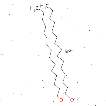 CCCCCCCCCCCCCCC[O-].CCCCCCCCCCCCCCC[O-].[Sr+2]